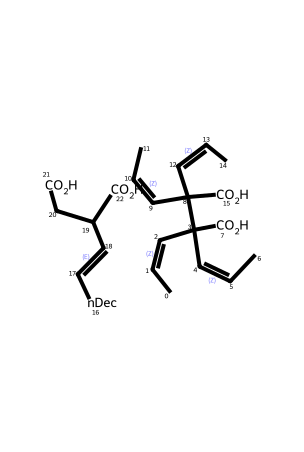 C/C=C\C(/C=C\C)(C(=O)O)C(/C=C\C)(/C=C\C)C(=O)O.CCCCCCCCCC/C=C/C(CC(=O)O)C(=O)O